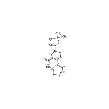 CC(C)(C)OC(=O)N1CCc2c(c(=O)[nH]c3ccccc23)C1